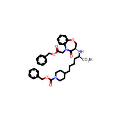 CCOC(=O)[C@@H](CCCCC1CCN(C(=O)OCc2ccccc2)CC1)N[C@H]1COc2ccccc2N(CC(=O)OCc2ccccc2)C1=O